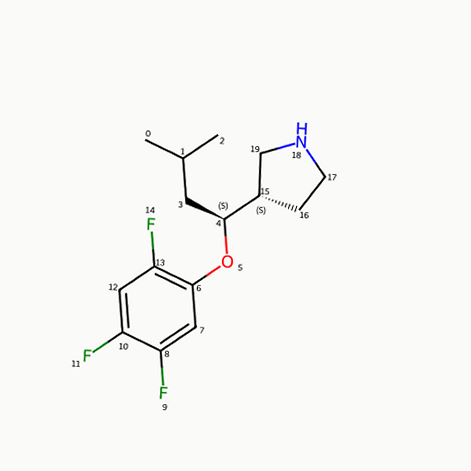 CC(C)C[C@H](Oc1cc(F)c(F)cc1F)[C@H]1CCNC1